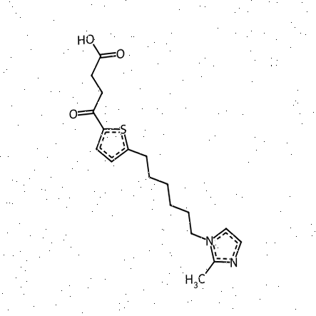 Cc1nccn1CCCCCCc1ccc(C(=O)CCC(=O)O)s1